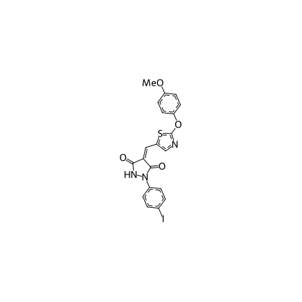 COc1ccc(Oc2ncc(/C=C3/C(=O)NN(c4ccc(I)cc4)C3=O)s2)cc1